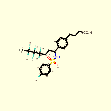 O=C(O)CCCc1ccc(C(CCC(F)(F)C(F)(F)C(F)(F)C(F)(F)F)NS(=O)(=O)c2ccc(F)cc2)cc1